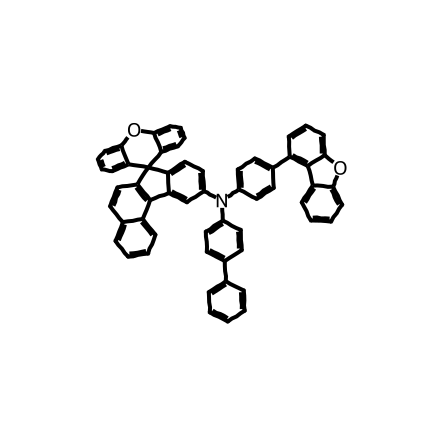 c1ccc(-c2ccc(N(c3ccc(-c4cccc5oc6ccccc6c45)cc3)c3ccc4c(c3)-c3c(ccc5ccccc35)C43c4ccccc4Oc4ccccc43)cc2)cc1